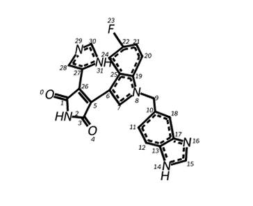 O=C1NC(=O)C(c2cn(Cc3ccc4[nH]cnc4c3)c3ccc(F)cc23)=C1c1cnc[nH]1